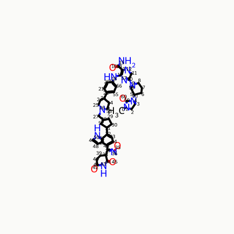 CN1CCN([C@@H]2CCCN(c3cnc(C(N)=O)c(Nc4ccc(C5CCN(CC6CCC(c7cc8onc(C9CCC(=O)NC9=O)c8c8cc[nH]c78)C6)CC5)cc4)n3)C2)C1=O